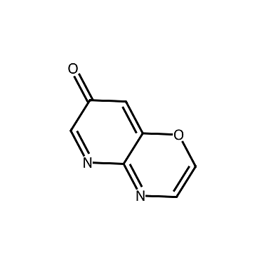 O=c1cnc2nccoc-2c1